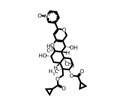 C[C@]1(COC(=O)C2CC2)[C@@H]2C[C@H](O)[C@@]3(C)OC4=C(COC(c5ccc[n+]([O-])c5)=C4)[C@H](O)[C@@H]3[C@@]2(C)CC[C@@H]1OC(=O)C1CC1